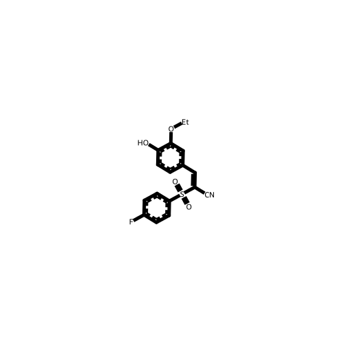 CCOc1cc(C=C(C#N)S(=O)(=O)c2ccc(F)cc2)ccc1O